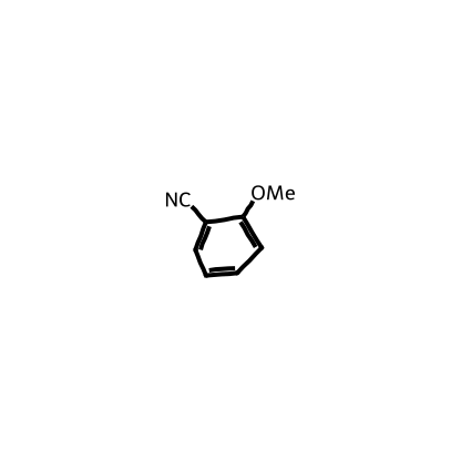 [CH2]Oc1ccccc1C#N